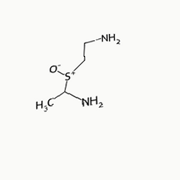 CC(N)[S+]([O-])CCN